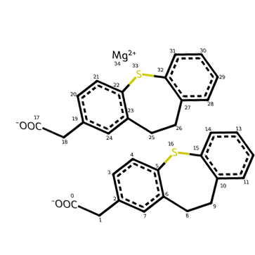 O=C([O-])Cc1ccc2c(c1)CCc1ccccc1S2.O=C([O-])Cc1ccc2c(c1)CCc1ccccc1S2.[Mg+2]